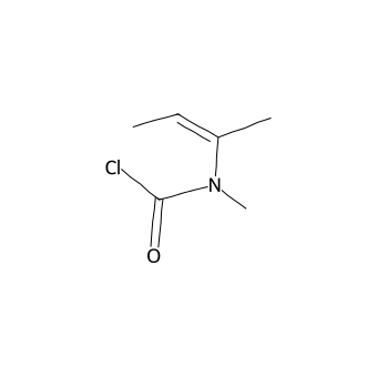 CC=C(C)N(C)C(=O)Cl